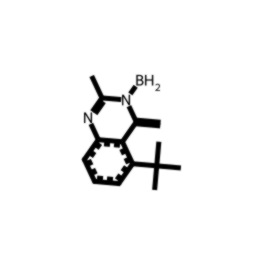 BN1C(=C)c2c(cccc2C(C)(C)C)N=C1C